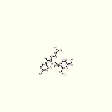 C=C(c1cnc(F)cc1C)N(CCNC(/C=C\C(C)=C/C)=C\CC)CCC1CC1